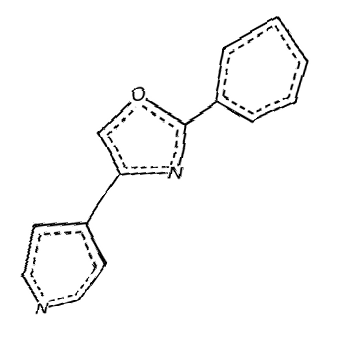 c1ccc(-c2nc(-c3ccncc3)co2)cc1